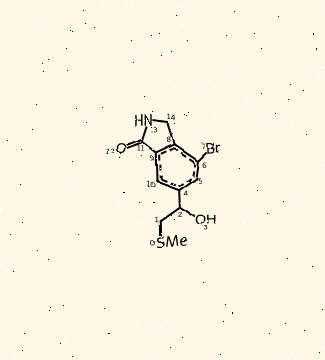 CSCC(O)c1cc(Br)c2c(c1)C(=O)NC2